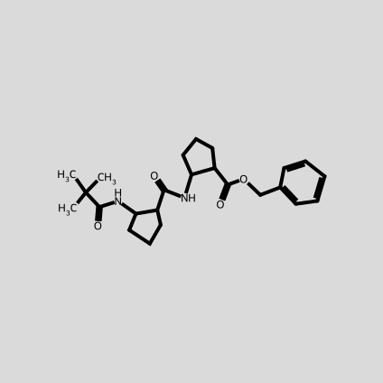 CC(C)(C)C(=O)NC1CCCC1C(=O)NC1CCCC1C(=O)OCc1ccccc1